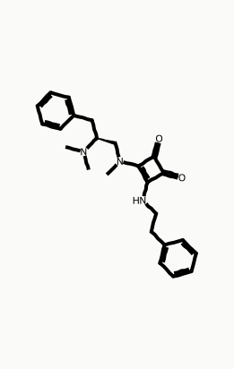 CN(C[C@H](Cc1ccccc1)N(C)C)c1c(NCCc2ccccc2)c(=O)c1=O